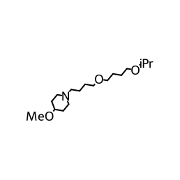 COC1CCN(CCCCOCCCCOC(C)C)CC1